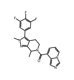 CC1c2nn(C)c(-c3cc(F)c(F)c(F)c3)c2CCN1C(=O)c1cccn2cncc12